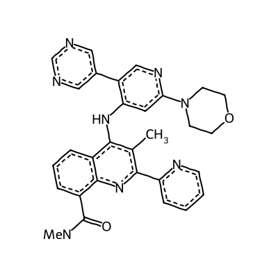 CNC(=O)c1cccc2c(Nc3cc(N4CCOCC4)ncc3-c3cncnc3)c(C)c(-c3ccccn3)nc12